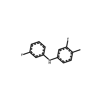 Cc1ccc(Nc2[c]ccc(F)c2)cc1F